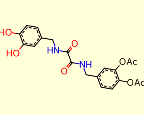 CC(=O)Oc1ccc(CNC(=O)C(=O)NCc2ccc(O)c(O)c2)cc1OC(C)=O